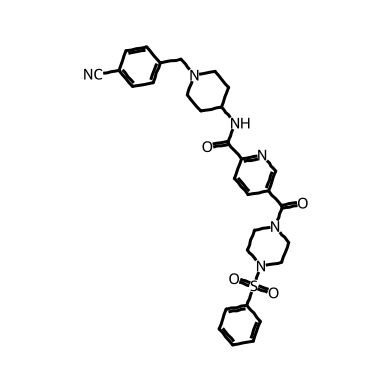 N#Cc1ccc(CN2CCC(NC(=O)c3ccc(C(=O)N4CCN(S(=O)(=O)c5ccccc5)CC4)cn3)CC2)cc1